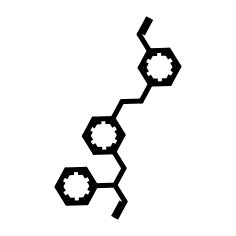 C=Cc1cccc(CCc2cccc(CC(C=C)c3ccccc3)c2)c1